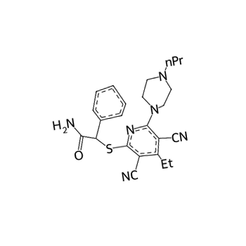 CCCN1CCN(c2nc(SC(C(N)=O)c3ccccc3)c(C#N)c(CC)c2C#N)CC1